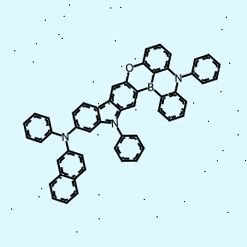 c1ccc(N(c2ccc3ccccc3c2)c2ccc3c4cc5c(cc4n(-c4ccccc4)c3c2)B2c3ccccc3N(c3ccccc3)c3cccc(c32)O5)cc1